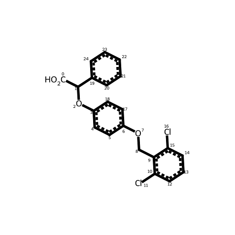 O=C(O)C(Oc1ccc(OCc2c(Cl)cccc2Cl)cc1)c1ccccc1